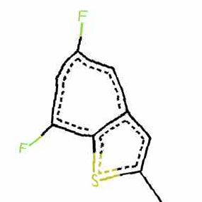 Cc1cc2cc(F)cc(F)c2s1